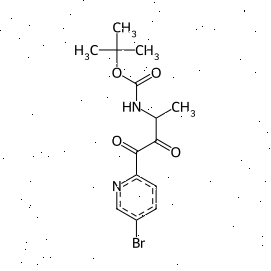 CC(NC(=O)OC(C)(C)C)C(=O)C(=O)c1ccc(Br)cn1